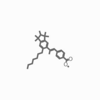 CCCCCCCc1cc2c(cc1/C(C)=C/c1ccc(C(=O)OC)cc1)C(C)(C)C(C)C2(C)C